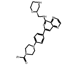 CC(C)C(=O)N1CCN(c2ccc(-c3cc4nccnc4c(NC[C@@H]4CNCCO4)n3)cc2)CC1